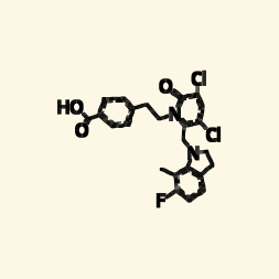 Cc1c(F)ccc2c1N(Cc1c(Cl)cc(Cl)c(=O)n1CCc1ccc(C(=O)O)cc1)CC2